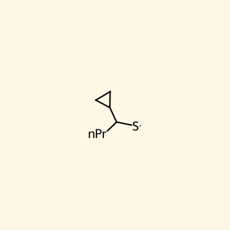 CCCC([S])C1CC1